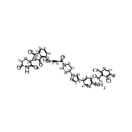 C[C@@H](Oc1cc(-c2cnn(C3CCN(C(=O)C#CNc4cccc5c4C(=O)N(C4CCC(=O)NC4=O)C5=O)CC3)c2)cnc1N)c1c(Cl)ccc(F)c1Cl